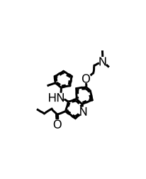 CCCC(=O)c1cnc2ccc(OCCN(C)C)cc2c1Nc1ccccc1C